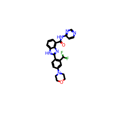 O=C(Nc1ccncn1)c1cccc2[nH]c(-c3ccc(N4CCOCC4)cc3C(F)F)nc12